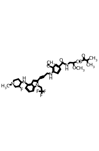 COc1cc(C(=O)NCC(COC(=O)C(C)C)OC)ccc1NCC#Cc1cc2c(N[C@@H]3CCN(C)C[C@@H]3F)cccc2n1CC(F)(F)F